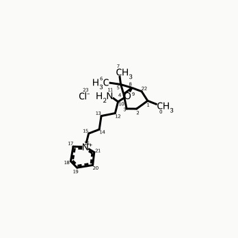 CC1CCC2C(C)(C)C2(OC(N)CCCC[n+]2ccccc2)C1.[Cl-]